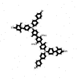 CCCCCCc1cc(-c2ccc(N(c3ccc(-c4ccc(Br)cc4)cc3)c3ccc(-c4c(C)cc(CCC)cc4C)cc3)cc2C)c(CCCCCC)cc1-c1ccc(N(c2ccc(-c3ccc(Br)cc3)cc2)c2ccc(-c3c(C)cc(CC)cc3C)cc2)cc1C